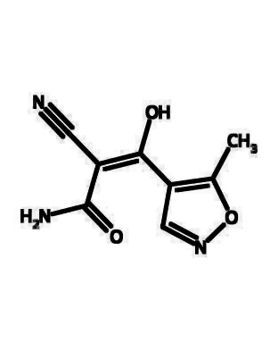 Cc1oncc1/C(O)=C(/C#N)C(N)=O